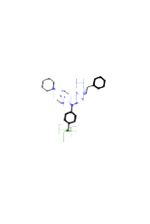 FC(F)(F)c1ccc(C(CNCCc2ccccc2)N2CCN(C3CCCCC3)CC2)cc1